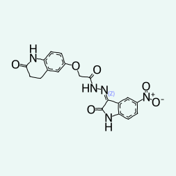 O=C(COc1ccc2c(c1)CCC(=O)N2)N/N=C1\C(=O)Nc2ccc([N+](=O)[O-])cc21